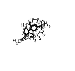 COc1cccc(-c2c(C(C)C)cc(C(C)C)cc2C(C)C)c1OC